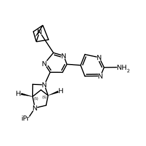 CC(C)N1C[C@@H]2C[C@H]1CN2c1cc(-c2cnc(N)nc2)nc(N2CC3CC2C3)n1